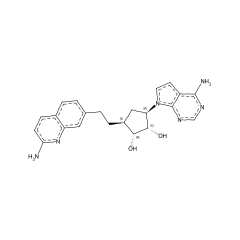 Nc1ccc2ccc(CC[C@H]3C[C@@H](n4ccc5c(N)ncnc54)[C@H](O)[C@@H]3O)cc2n1